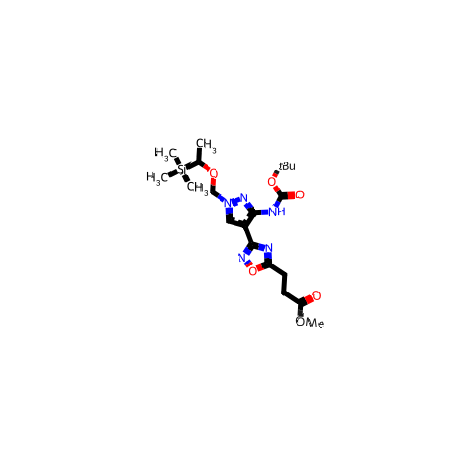 COC(=O)CCc1nc(-c2cn(COC(C)[Si](C)(C)C)nc2NC(=O)OC(C)(C)C)no1